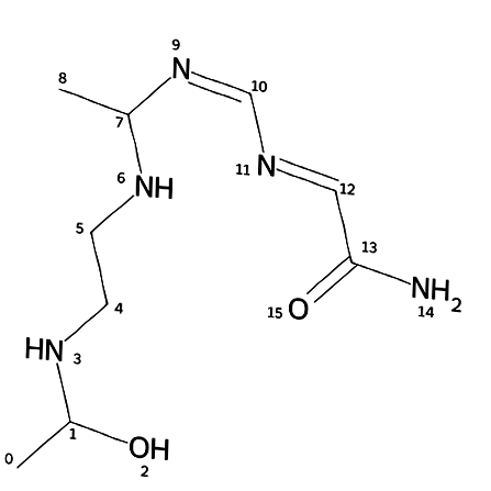 CC(O)NCCNC(C)/N=C\N=C\C(N)=O